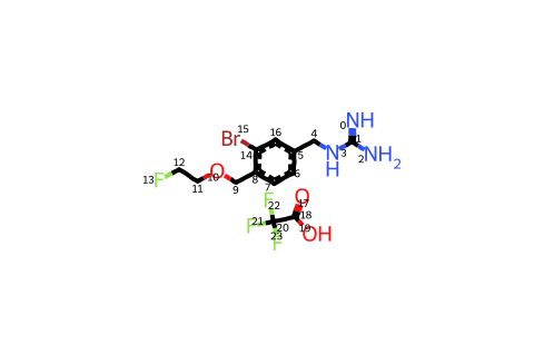 N=C(N)NCc1ccc(COCCF)c(Br)c1.O=C(O)C(F)(F)F